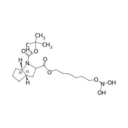 CC(C)(C)OC(=O)N1C(C(=O)OCCCCCCON(O)O)C[C@@H]2CCC[C@@H]21